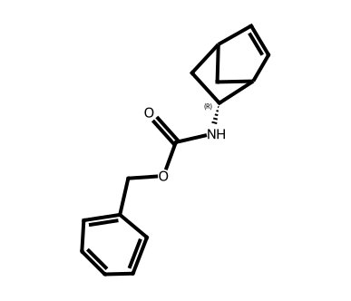 O=C(N[C@@H]1CC2C=CC1C2)OCc1ccccc1